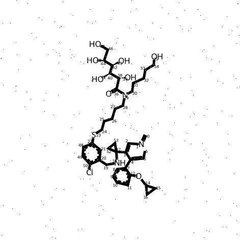 C=N/C=C(\C(=C/C)c1ccccc1OC1CC1)C1(NCc2cc(SCCCCCN(CCCCCO)C(=O)[C@@H](O)[C@@H](O)[C@H](O)[C@@H](O)CO)ccc2Cl)CC1